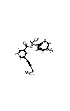 COCC#Cc1cncc(C(=O)N=S(C)(=O)c2ccc(Cl)cc2)c1